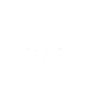 CC(C)c1cc[n+](CC(C)c2cc(CC(C)c3ccno3)nn2C)[nH]1